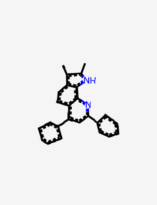 Cc1[nH]c2c(ccc3c(-c4ccccc4)cc(-c4ccccc4)nc32)c1C